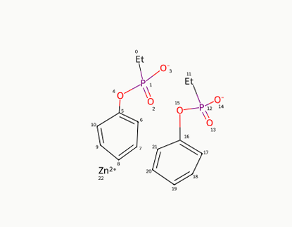 CCP(=O)([O-])Oc1ccccc1.CCP(=O)([O-])Oc1ccccc1.[Zn+2]